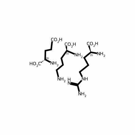 N=C(N)NCCC[C@H](N)C(=O)O.NCCC[C@H](N)C(=O)O.N[C@@H](CCC(=O)O)C(=O)O